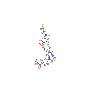 COC1(C2C=CC(c3cc4c(N5CCN(C(=O)C6CC6)CC5)ccnn4c3)=NC2)CCN([C@@H](C)COC(F)F)CC1